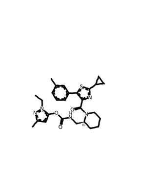 CCn1nc(C)cc1OC(=O)NC[C@@H]1CCCCN1C(=O)c1nc(C2CC2)sc1-c1cccc(C)c1